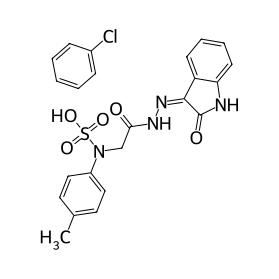 Cc1ccc(N(CC(=O)NN=C2C(=O)Nc3ccccc32)S(=O)(=O)O)cc1.Clc1ccccc1